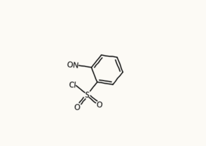 O=Nc1ccccc1S(=O)(=O)Cl